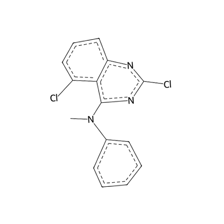 CN(c1ccccc1)c1nc(Cl)nc2cccc(Cl)c12